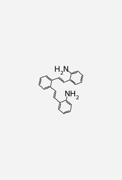 Nc1ccccc1C=Cc1ccccc1C=Cc1ccccc1N